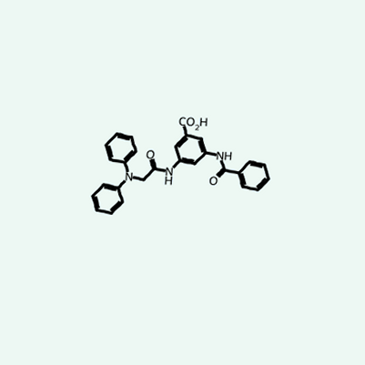 O=C(CN(c1ccccc1)c1ccccc1)Nc1cc(NC(=O)c2ccccc2)cc(C(=O)O)c1